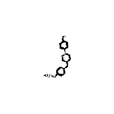 CCCc1ccc(N2CCC(Cc3ccc(OC(=O)O)cc3)CC2)cc1